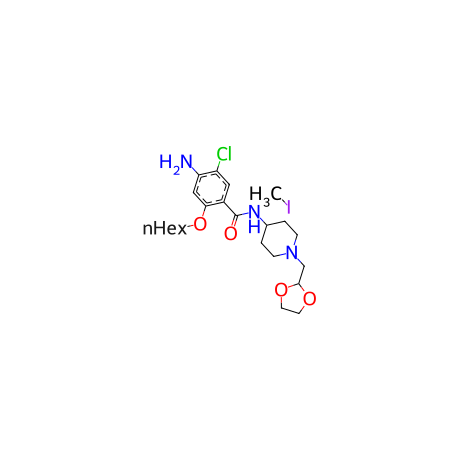 CCCCCCOc1cc(N)c(Cl)cc1C(=O)NC1CCN(CC2OCCO2)CC1.CI